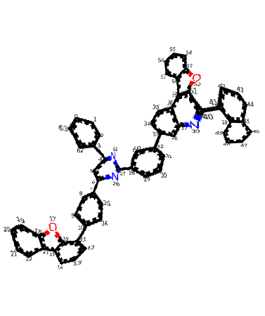 c1ccc(-c2cc(-c3ccc(-c4cccc5c4oc4ccccc45)cc3)nc(-c3cccc(-c4ccc5c(c4)nc(-c4cccc6ccccc46)c4oc6ccccc6c45)c3)n2)cc1